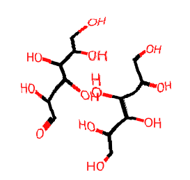 O=CC(O)C(O)C(O)C(O)CO.OCC(O)C(O)C(O)C(O)CO